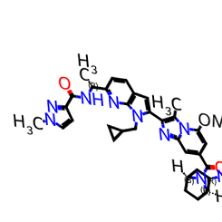 COc1cc(C(=O)N2[C@H]3CC[C@@H]2[C@H](N)C3)cc2nc(-c3cc4ccc([C@@H](C)NC(=O)c5ccn(C)n5)nc4n3CC3CC3)c(C)n12